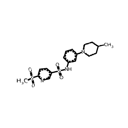 CC1CCN(c2cccc(NS(=O)(=O)c3ccc(S(C)(=O)=O)nc3)c2)CC1